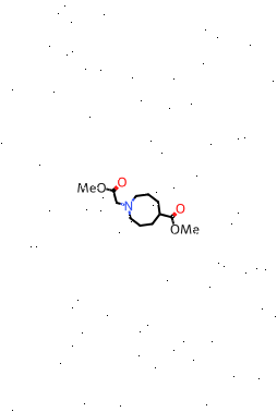 COC(=O)CN1CCCC(C(=O)OC)CCC1